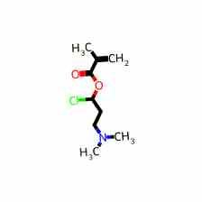 C=C(C)C(=O)OC(Cl)CCN(C)C